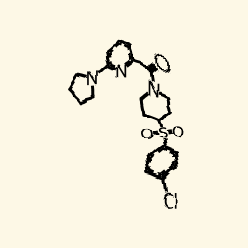 O=C(c1cccc(N2CCCC2)n1)N1CCC(S(=O)(=O)c2ccc(Cl)cc2)CC1